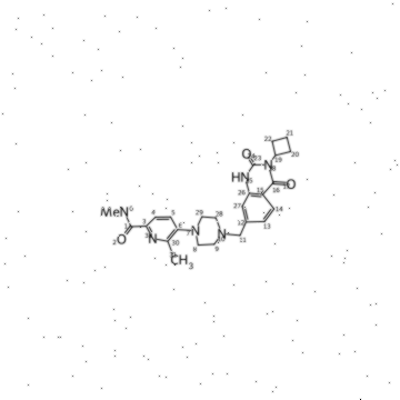 CNC(=O)c1ccc(N2CCN(Cc3ccc4c(=O)n(C5CCC5)c(=O)[nH]c4c3)CC2)c(C)n1